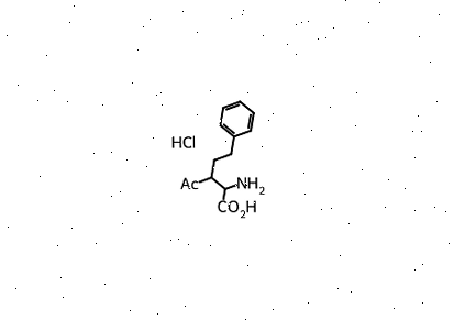 CC(=O)C(CCc1ccccc1)C(N)C(=O)O.Cl